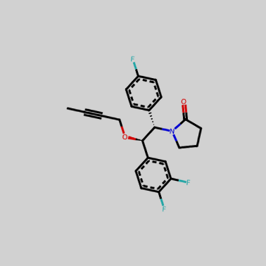 CC#CCO[C@H](c1ccc(F)c(F)c1)[C@H](c1ccc(F)cc1)N1CCCC1=O